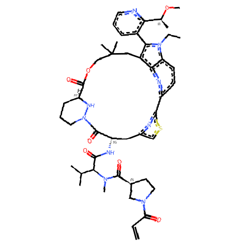 C=CC(=O)N1CC[C@H](C(=O)N(C)C(C(=O)N[C@H]2Cc3csc(n3)-c3ccc4c(n3)c(c(-c3cccnc3[C@H](C)OC)n4CC)CC(C)(C)COC(=O)[C@@H]3CCCN(N3)C2=O)C(C)C)C1